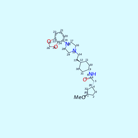 CO[C@@H]1CC[C@@H](CC(=O)N[C@H]2CC[C@H](CCN3CCN(c4cccc5c4OCO5)CC3)CC2)C1